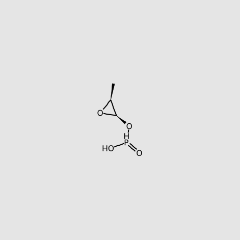 C[C@@H]1O[C@@H]1O[PH](=O)O